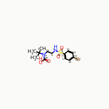 CC(C)(C)N(CCNS(=O)(=O)c1ccc(Br)cc1)C(=O)O